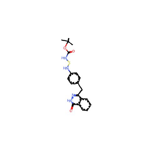 CC(C)(C)OC(=O)NSNc1ccc(Cc2n[nH]c(=O)c3ccccc23)cc1